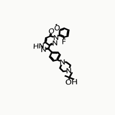 COc1cccc(F)c1-n1nc2c(-c3ccc(N4CCN(CC(C)(C)O)CC4)cc3)n[nH]c2cc1=O